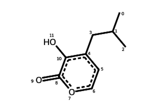 CC(C)Cc1ccoc(=O)c1O